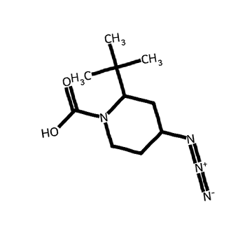 CC(C)(C)C1CC(N=[N+]=[N-])CCN1C(=O)O